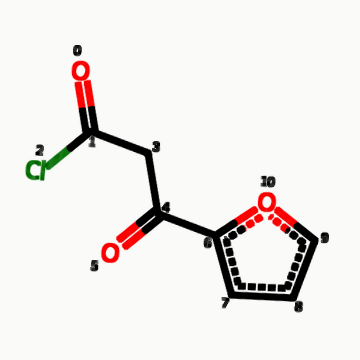 O=C(Cl)CC(=O)c1ccco1